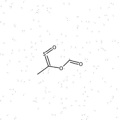 CC(O[C]=O)=S=O